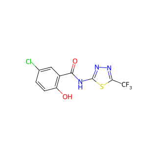 O=C(Nc1nnc(C(F)(F)F)s1)c1cc(Cl)ccc1O